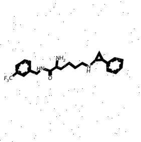 NC(CCCCNC1CC1c1ccccc1)C(=O)NCc1cccc(C(F)(F)F)c1